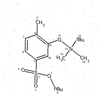 CCCCOS(=O)(=O)c1ccc(C)c(O[Si](C)(C)C(C)(C)C)c1